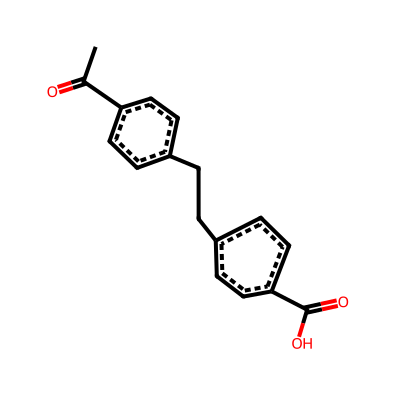 CC(=O)c1ccc(CCc2ccc(C(=O)O)cc2)cc1